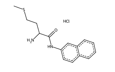 CSCCC(N)C(=O)Nc1ccc2ccccc2c1.Cl